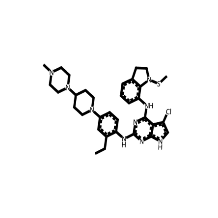 CCc1cc(N2CCC(N3CCN(C)CC3)CC2)ccc1Nc1nc(Nc2cccc3c2N(SC)CC3)c2c(Cl)c[nH]c2n1